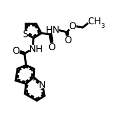 CCOC(=O)NC(=O)c1ccsc1NC(=O)c1ccc2cccnc2c1